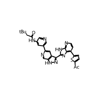 CC(=O)c1ccc(-c2ccnc3[nH]c(-c4n[nH]c5cnc(-c6cncc(NC(=O)CC(C)(C)C)c6)cc45)nc23)s1